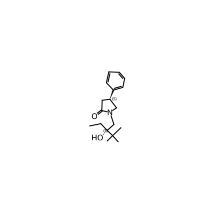 CC[C@@](O)(CN1C[C@H](c2ccccc2)CC1=O)C(C)(C)C